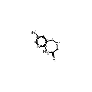 CC(C)c1cnc2c(c1)COCC(=O)N2